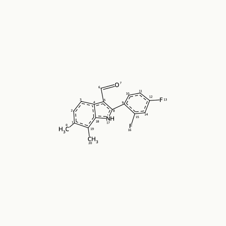 Cc1ccc2c(C=O)c(-c3ccc(F)cc3F)[nH]c2c1C